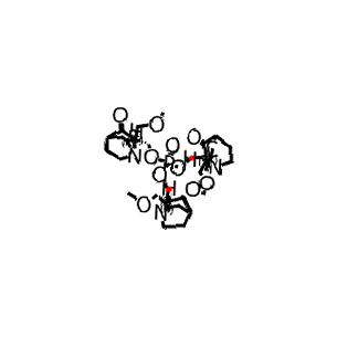 COC[C@]1(COP(=O)(OC[C@@]2(COC)C(=O)C3CCN2[C@H](C)C3)OC[C@@]2(COC)C(=O)C3CCN2[C@H](C)C3)C(=O)C2CCN1[C@H](C)C2